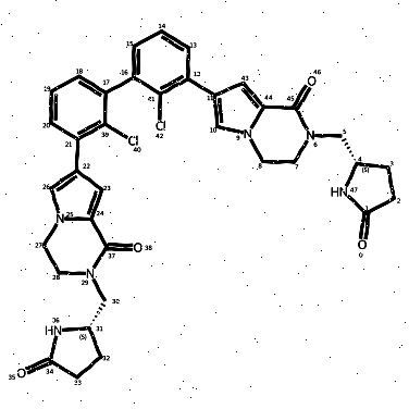 O=C1CC[C@@H](CN2CCn3cc(-c4cccc(-c5cccc(-c6cc7n(c6)CCN(C[C@@H]6CCC(=O)N6)C7=O)c5Cl)c4Cl)cc3C2=O)N1